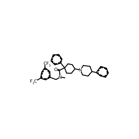 CN(Cc1cc(C(F)(F)F)cc(C(F)(F)F)c1)C(=O)C1(c2ccccc2)CCC(N2CCC(c3ccccc3)CC2)CC1